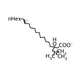 CCCCCC/C=C/CCCCCCCCCCC(O)(CC(=O)[O-])C[N+](C)(C)C